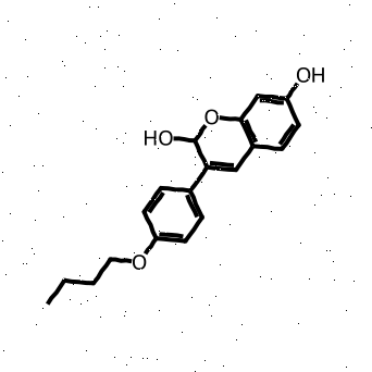 CCCCOc1ccc(C2=Cc3ccc(O)cc3OC2O)cc1